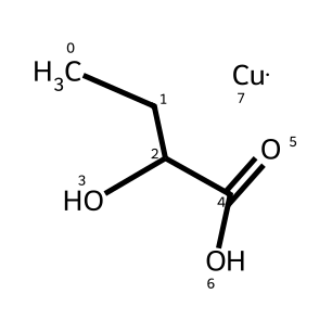 CCC(O)C(=O)O.[Cu]